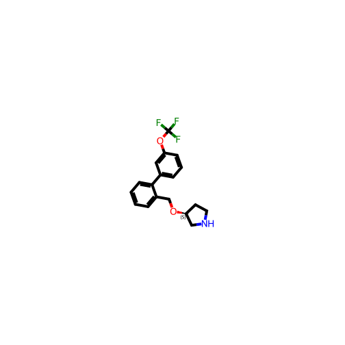 FC(F)(F)Oc1cccc(-c2ccccc2CO[C@H]2CCNC2)c1